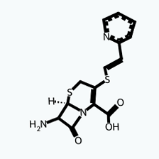 NC1C(=O)N2C(C(=O)O)=C(SC=Cc3ccccn3)CS[C@H]12